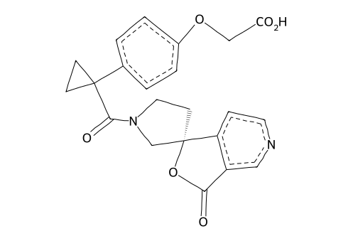 O=C(O)COc1ccc(C2(C(=O)N3CC[C@@]4(C3)OC(=O)c3cnccc34)CC2)cc1